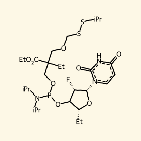 CCOC(=O)C(CC)(COCSSC(C)C)COP(OC1[C@@H](CC)O[C@@H](n2ccc(=O)[nH]c2=O)[C@H]1F)N(C(C)C)C(C)C